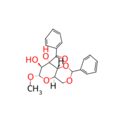 CO[C@H]1O[C@@H]2COC(c3ccccc3)O[C@H]2[C@](O)(C(=O)c2ccccc2)[C@@H]1O